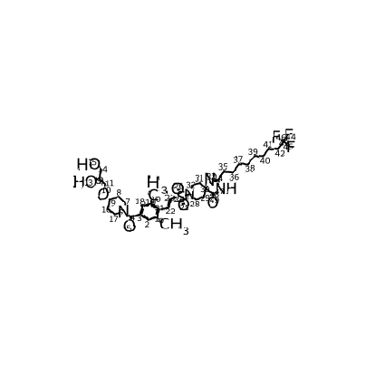 Cc1cc(C(=O)N2CCC(OC[C@@H](O)CO)CC2)cc(C)c1C=CS(=O)(=O)N1CCC2(CC1)N=C(CCCCCCCCC(F)(F)F)NC2=O